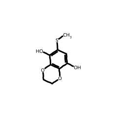 CSc1cc(O)c2c(c1O)OCCO2